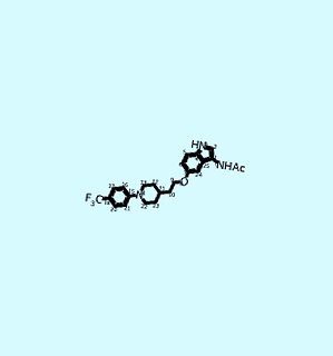 CC(=O)Nc1c[nH]c2ccc(OCCC3CCN(c4ccc(C(F)(F)F)cc4)CC3)cc12